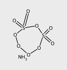 N.O=S1(=O)OOOOS(=O)(=O)O1